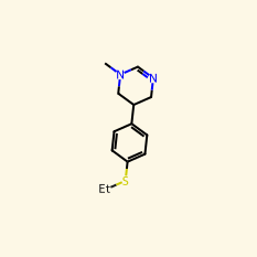 CCSc1ccc(C2CN=CN(C)C2)cc1